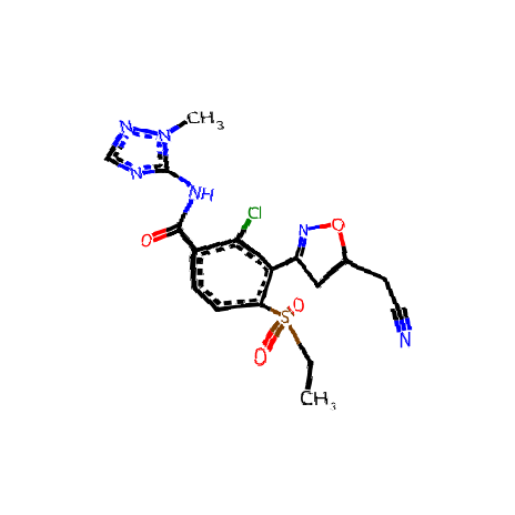 CCS(=O)(=O)c1ccc(C(=O)Nc2ncnn2C)c(Cl)c1C1=NOC(CC#N)C1